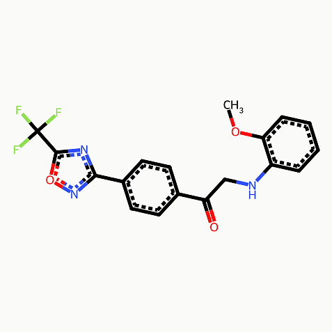 COc1ccccc1NCC(=O)c1ccc(-c2noc(C(F)(F)F)n2)cc1